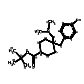 CN(C)CC1(Cc2ccc(F)cc2)CCN(C(=O)OC(C)(C)C)CC1